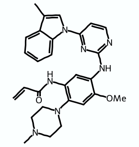 C=CC(=O)Nc1cc(Nc2nccc(-n3cc(C)c4ccccc43)n2)c(OC)cc1N1CCN(C)CC1